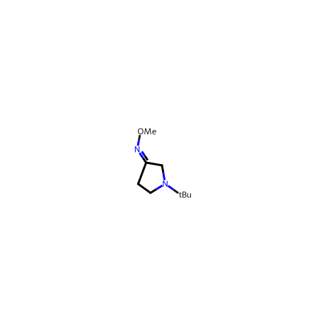 CO/N=C1/CCN(C(C)(C)C)C1